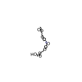 C=CC(=O)OCCCCOc1ccc(/C=C/C(=O)c2ccc(OCCCCOC(=O)C(=C)CO)cc2)cc1